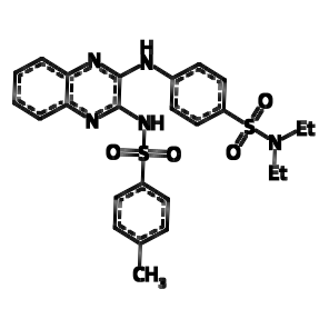 CCN(CC)S(=O)(=O)c1ccc(Nc2nc3ccccc3nc2NS(=O)(=O)c2ccc(C)cc2)cc1